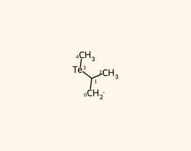 [CH2]C(C)[Te]C